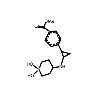 COC(=O)c1ccc(C2CC2NC2CCS(O)(O)CC2)cc1